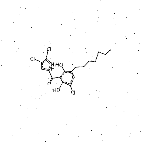 CCCCCCCc1cc(Cl)c(O)c(C(=O)c2cc(Cl)c(Cl)[nH]2)c1O